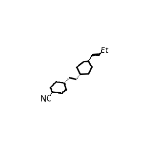 CCC=C[C@H]1CC[C@H](CC[C@H]2CC[C@H](C#N)CC2)CC1